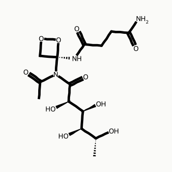 CC(=O)N(C(=O)[C@H](O)[C@@H](O)[C@H](O)[C@@H](C)O)[C@@]1(NC(=O)CCC(N)=O)COO1